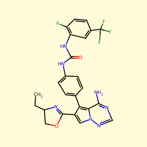 [CH2]CC1COC(c2cn3ncnc(N)c3c2-c2ccc(NC(=O)Nc3cc(C(F)(F)F)ccc3F)cc2)=N1